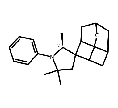 C[C@@H]1N(c2ccccc2)C(C)(C)CC12C1CC3CC4CC2C41C3